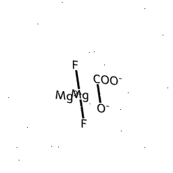 O=C([O-])[O-].[F][Mg][F].[Mg+2]